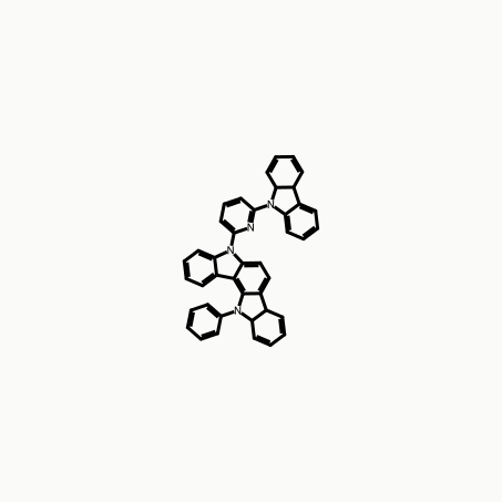 C1=CC2c3ccccc3N(c3cccc(-n4c5ccccc5c5c6c(ccc54)C4C=CC=CC4N6c4ccccc4)n3)C2C=C1